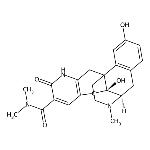 CN(C)C(=O)c1cc2c([nH]c1=O)CC13CCN(C)[C@H](Cc4ccc(O)cc41)[C@]3(O)C2